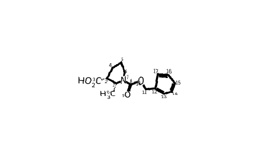 C[C@@H]1[C@H](C(=O)O)CCCN1C(=O)OCc1ccccc1